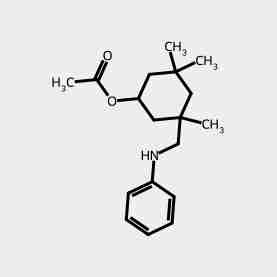 CC(=O)OC1CC(C)(C)CC(C)(CNc2ccccc2)C1